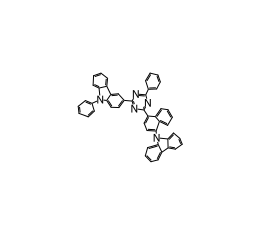 c1ccc(-c2nc(-c3ccc4c(c3)c3ccccc3n4-c3ccccc3)nc(-c3ccc(-n4c5ccccc5c5ccccc54)c4ccccc34)n2)cc1